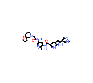 Cc1ncc(NC(=O)CN2CCCC3(CCCO3)C2)cc1NC(=O)c1cnc2[nH]c(-c3cnn(C)c3)cc2c1